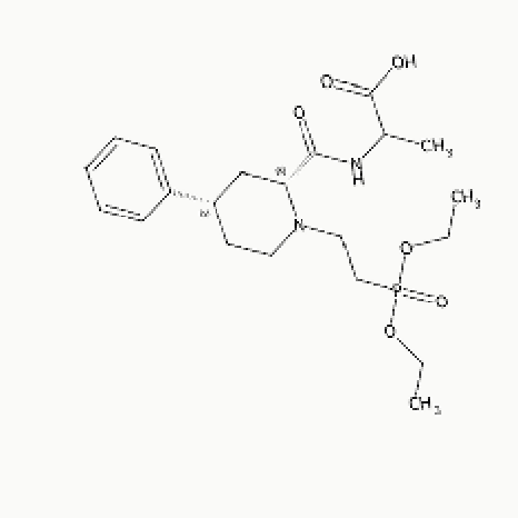 CCOP(=O)(CCN1CC[C@H](c2ccccc2)C[C@@H]1C(=O)NC(C)C(=O)O)OCC